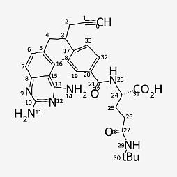 C#CCC(Cc1ccc2nc(N)nc(N)c2c1)c1ccc(C(=O)N[C@@H](CCC(=O)NC(C)(C)C)C(=O)O)cc1